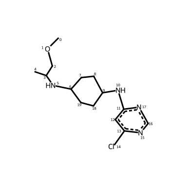 COCC(C)NC1CCC(Nc2cc(Cl)ncn2)CC1